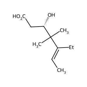 C/C=C(\CC)C(C)(C)[C@@H](O)CC(=O)O